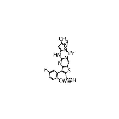 COc1ccc(F)cc1-c1c(CO)sc2cnc(Nc3cc(C)nn3C(C)C)nc12